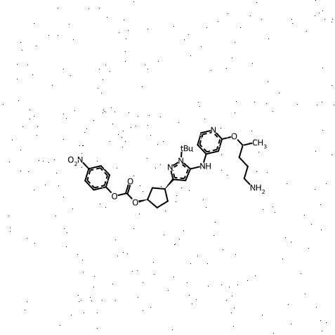 CC(CCCN)Oc1cc(Nc2cc([C@H]3CC[C@@H](OC(=O)Oc4ccc([N+](=O)[O-])cc4)C3)nn2C(C)(C)C)ccn1